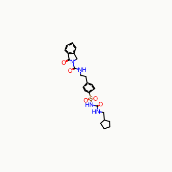 O=C(NCC1CCCC1)NS(=O)(=O)c1ccc(CCNC(=O)N2Cc3ccccc3C2=O)cc1